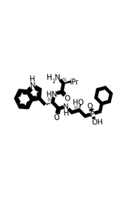 CC(C)[C@H](N)C(=O)N[C@@H](Cc1c[nH]c2ccccc12)C(=O)NC[C@H](O)CP(=O)(O)CC1CCCCC1